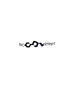 CCCCCCC/C=C/[C@H]1CC[C@H]([C@H]2CC[C@H](C#N)CC2)CC1